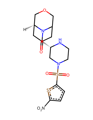 O=C1CC2COC[C@H](C1)N2C[C@H]1CN(S(=O)(=O)c2ccc([N+](=O)[O-])s2)CCN1